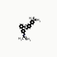 C=C(/C=C/c1cccc(N(Cc2ccc(-c3ccc(N(C)C)cc3)cc2)C(=O)C2CCCCC2)c1)OC